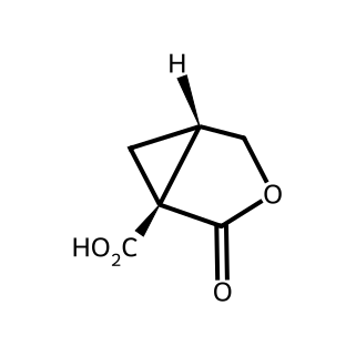 O=C(O)[C@@]12C[C@@H]1COC2=O